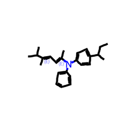 CCC(C)c1ccc(N(/C(C)=C/C=C(\C)C(C)C)c2ccccc2)cc1